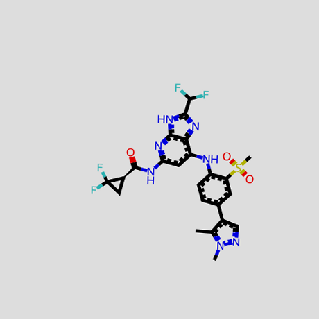 Cc1c(-c2ccc(Nc3cc(NC(=O)[C@H]4CC4(F)F)nc4[nH]c(C(F)F)nc34)c(S(C)(=O)=O)c2)cnn1C